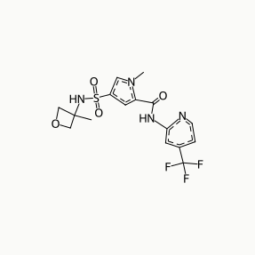 Cn1cc(S(=O)(=O)NC2(C)COC2)cc1C(=O)Nc1cc(C(F)(F)F)ccn1